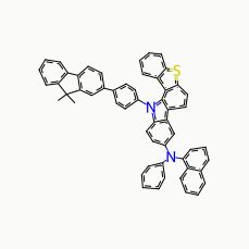 CC1(C)c2ccccc2-c2ccc(-c3ccc(-n4c5ccc(N(c6ccccc6)c6cccc7ccccc67)cc5c5ccc6sc7ccccc7c6c54)cc3)cc21